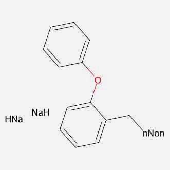 CCCCCCCCCCc1ccccc1Oc1ccccc1.[NaH].[NaH]